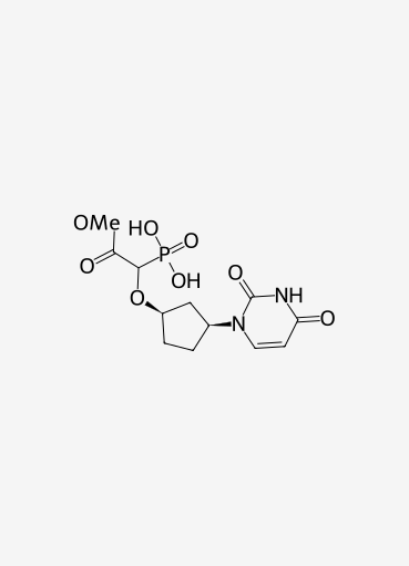 COC(=O)C(O[C@@H]1CC[C@H](n2ccc(=O)[nH]c2=O)C1)P(=O)(O)O